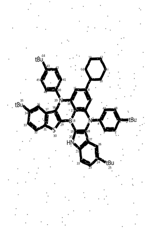 CC(C)(C)c1ccc(N2c3cc(C4CCCCC4)cc4c3B(c3[nH]c5ccc(C(C)(C)C)cc5c32)c2sc3ccc(C(C)(C)C)cc3c2N4c2ccc(C(C)(C)C)cc2)cc1